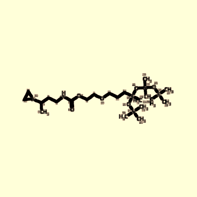 CC(CCNC(=O)OCCOCCC[Si](C)(O[Si](C)(C)C)O[Si](C)(C)O[Si](C)(C)C)N1CC1